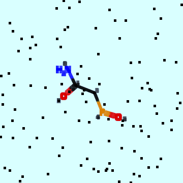 NC(=O)CP=O